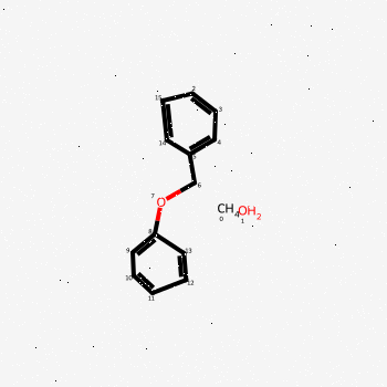 C.O.c1ccc(COc2ccccc2)cc1